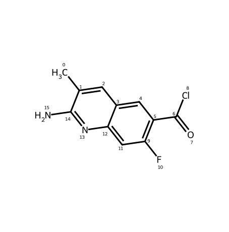 Cc1cc2cc(C(=O)Cl)c(F)cc2nc1N